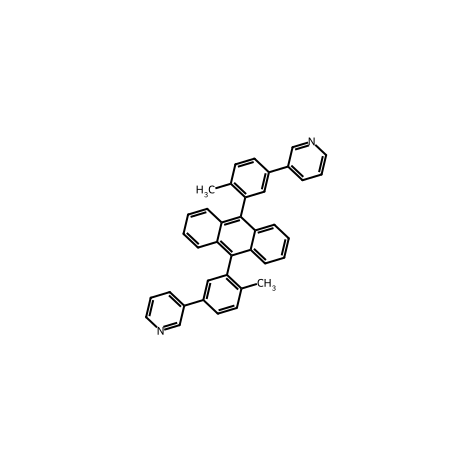 Cc1ccc(-c2cccnc2)cc1-c1c2ccccc2c(-c2cc(-c3cccnc3)ccc2C)c2ccccc12